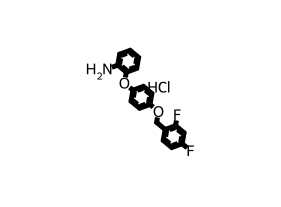 Cl.Nc1ccccc1Oc1ccc(OCc2ccc(F)cc2F)cc1